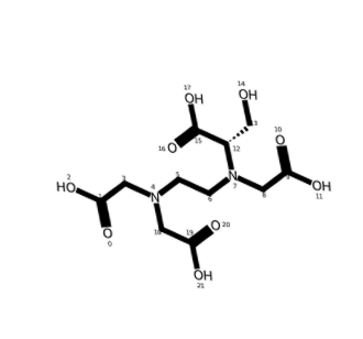 O=C(O)CN(CCN(CC(=O)O)[C@@H](CO)C(=O)O)CC(=O)O